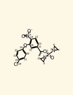 CC(OP(=O)(N1CC1)N1CC1)c1ccc([N+](=O)[O-])c(Oc2ccc(Cl)cc2)c1